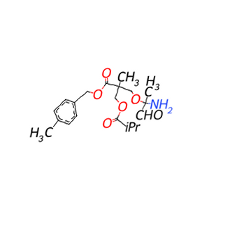 Cc1ccc(COC(=O)C(C)(COC(=O)C(C)C)COC(C)(N)C=O)cc1